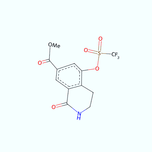 COC(=O)c1cc(OS(=O)(=O)C(F)(F)F)c2c(c1)C(=O)NCC2